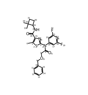 Cc1sc(N(C(=O)COCc2ccccc2)c2cc(F)nc(F)c2)nc1C(=O)NC1CCC1(C)C